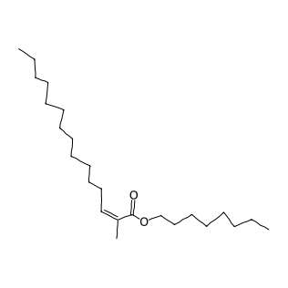 CCCCCCCCCCCCC=C(C)C(=O)OCCCCCCCC